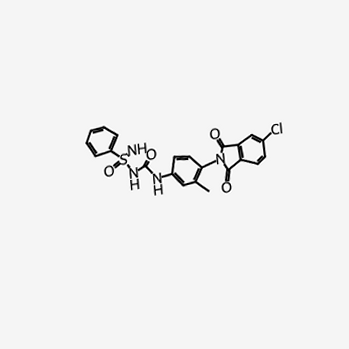 Cc1cc(NC(=O)NS(=N)(=O)c2ccccc2)ccc1N1C(=O)c2ccc(Cl)cc2C1=O